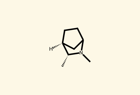 C[C@@H]1[C@H]2CCC(C2)N1C